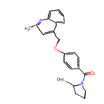 Cc1cc(COc2ccc(C(=O)N3CCCC3C=O)cc2)c2ccccc2n1